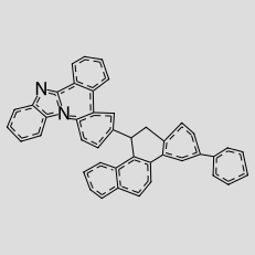 c1ccc(-c2ccc3c(c2)-c2ccc4ccccc4c2C(c2ccc4c(c2)c2ccccc2c2nc5ccccc5n42)C3)cc1